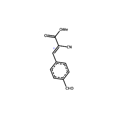 COC(=O)/C(C#N)=C/c1ccc(C=O)cc1